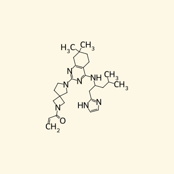 C=CC(=O)N1CC2(CCN(c3nc4c(c(NC(Cc5ncc[nH]5)CC(C)C)n3)CCC(C)(C)C4)C2)C1